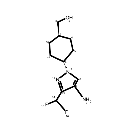 Nc1cn([C@H]2CC[C@H](CO)CC2)nc1C(F)F